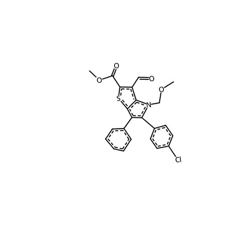 COCn1c(-c2ccc(Cl)cc2)c(-c2ccccc2)c2sc(C(=O)OC)c(C=O)c21